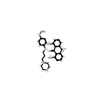 CCCCOc1ccc(OCCCN2CCOCC2)cc1.Cl.O=C1c2c(O)cccc2Cc2cccc(O)c21